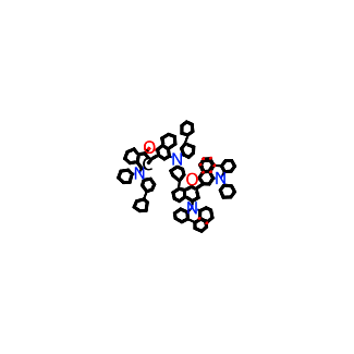 c1ccc(-c2cccc(N(c3ccccc3)c3cc4c5cc(N(c6ccc(-c7cccc8c(N(c9ccccc9)c9ccccc9-c9ccccc9)cc9c%10cc(N(c%11ccccc%11)c%11ccccc%11-c%11ccccc%11)c%11ccccc%11c%10oc9c78)cc6)c6cccc(-c7ccccc7)c6)c6ccccc6c5oc4c4ccccc34)c2)cc1